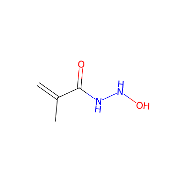 C=C(C)C(=O)NNO